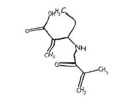 C=C(C)C(=O)NC(CC)C(=C)C(=O)O